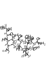 CN(C)c1cc(NC(=O)CNC(C)(C)C)c(O)c2c1C[C@H]1C[C@H]3[C@@H](N(C)C)C(O)C(C(N)=O)C(=O)[C@@]3(O)C(O)C1C2=O